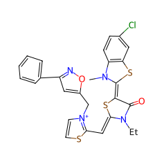 CCn1c(=O)/c(=C2\Sc3cc(Cl)ccc3N2C)s/c1=C\c1scc[n+]1Cc1cc(-c2ccccc2)no1